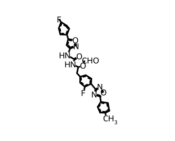 Cc1ccc(-c2nc(-c3ccc(CC(NC(=O)Nc4cc(-c5ccc(F)cc5)on4)OC=O)cc3F)no2)cc1